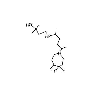 CC(CCC(C)N1CCC(C)C(F)(F)CC1)NCCC(C)(C)O